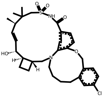 C[C@@H]1/C=C/[C@@H](O)[C@@H]2CC[C@H]2CN2CCCCc3cc(Cl)ccc3COc3ccc(cc32)C(=O)NS(=O)(=O)CC1(C)C